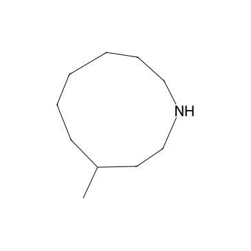 CC1CCCCCCNCC1